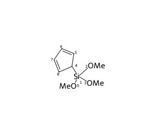 CO[Si](OC)(OC)C1C=CC=C1